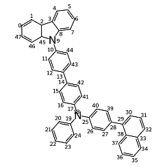 C1=CC2c3ccccc3N(c3ccc(-c4ccc(N(c5ccccc5)c5ccc(-c6cccc7ccccc67)cc5)cc4)cc3)C2C=C1